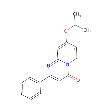 CC(C)Oc1ccn2c(=O)cc(-c3ccccc3)nc2c1